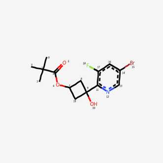 CC(C)(C)C(=O)OC1CC(O)(c2ncc(Br)cc2F)C1